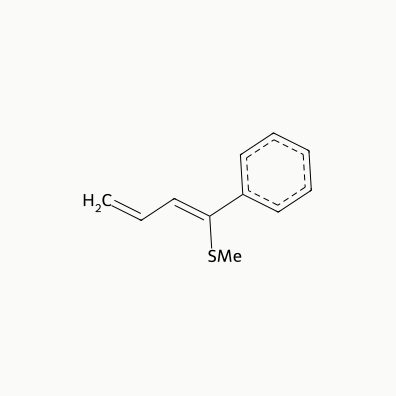 C=C/C=C(\SC)c1ccccc1